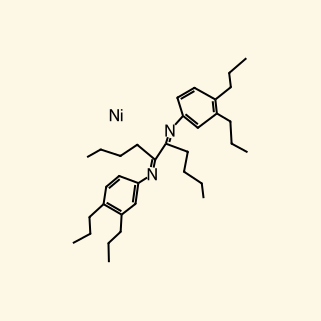 CCCCC(=Nc1ccc(CCC)c(CCC)c1)C(CCCC)=Nc1ccc(CCC)c(CCC)c1.[Ni]